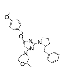 COc1ccc(COc2cc(N3CCOC(C)C3)nc(N3CCCC3Cc3ccccc3)n2)cc1